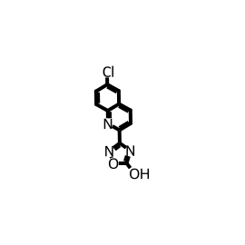 Oc1nc(-c2ccc3cc(Cl)ccc3n2)no1